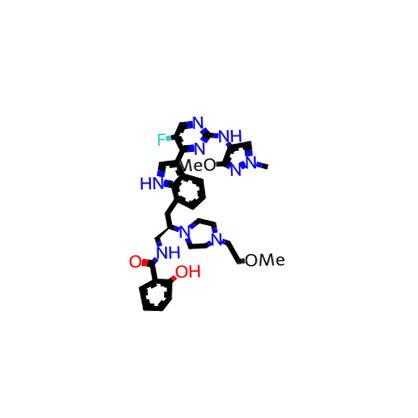 COCCN1CCN([C@@H](CNC(=O)c2ccccc2O)Cc2cccc3c(-c4nc(Nc5cn(C)nc5OC)ncc4F)c[nH]c23)CC1